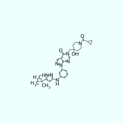 CC(C)(C)c1cc(Nc2cccc(-n3ncc4c(=O)n(CC5(O)CCN(C(=O)C6CC6)CC5)cnc43)c2)n[nH]1